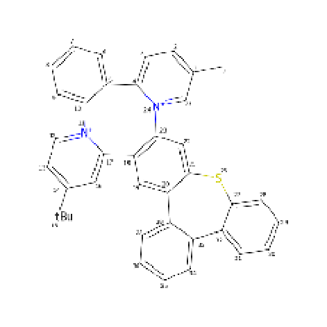 Cc1ccc2c3ccccc3[n+]3ccc(C(C)(C)C)cc3c3cc4c(cc3[n+]2c1)sc1ccccc1c1ccccc41